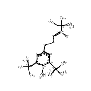 CC(C)(C)c1cc(CCC=[N+]([O-])C(C)(C)C)cc(C(C)(C)C)c1O